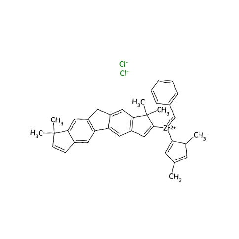 CC1=CC(C)[C]([Zr+2](=[CH]c2ccccc2)[C]2=Cc3cc4c(cc3C2(C)C)Cc2cc3c(cc2-4)C=CC3(C)C)=C1.[Cl-].[Cl-]